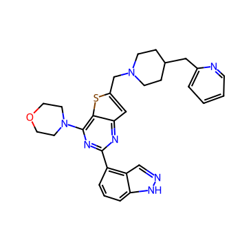 c1ccc(CC2CCN(Cc3cc4nc(-c5cccc6[nH]ncc56)nc(N5CCOCC5)c4s3)CC2)nc1